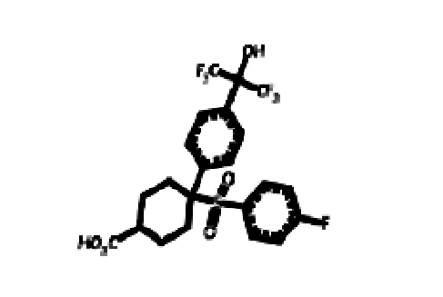 O=C(O)C1CCC(c2ccc(C(O)(C(F)(F)F)C(F)(F)F)cc2)(S(=O)(=O)c2ccc(F)cc2)CC1